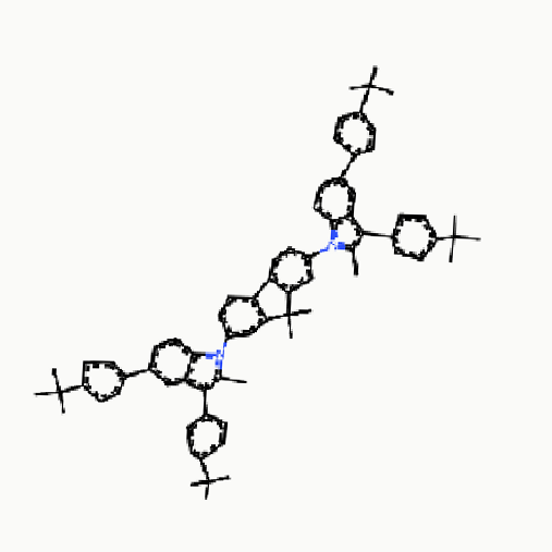 Cc1c(-c2ccc(C(C)(C)C)cc2)c2cc(-c3ccc(C(C)(C)C)cc3)ccc2n1-c1ccc2c(c1)C(C)(C)c1cc(-n3c(C)c(-c4ccc(C(C)(C)C)cc4)c4cc(-c5ccc(C(C)(C)C)cc5)ccc43)ccc1-2